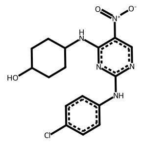 O=[N+]([O-])c1cnc(Nc2ccc(Cl)cc2)nc1NC1CCC(O)CC1